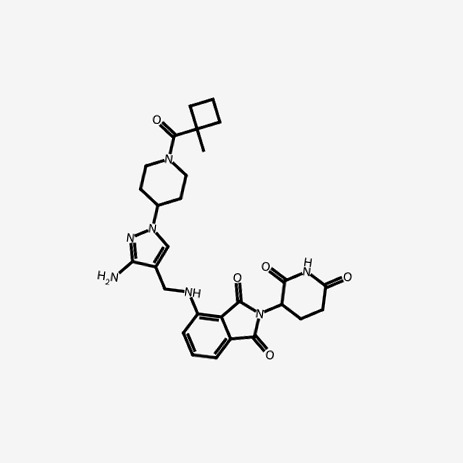 CC1(C(=O)N2CCC(n3cc(CNc4cccc5c4C(=O)N(C4CCC(=O)NC4=O)C5=O)c(N)n3)CC2)CCC1